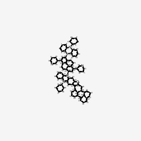 c1ccc(N2c3ccccc3N(c3cc(-c4cccnc4)c4ccc5c(-n6c7ccccc7n(-c7ccccc7)c7cc8c(cc76)oc6cc7c9cccc%10cccc(c%11cccc(c68)c%117)c%109)cc(-c6cccnc6)c6ccc3c4c65)c3ccccc32)cc1